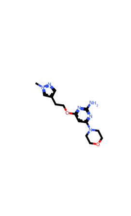 Cn1cc(CCOc2cc(N3CCOCC3)nc(N)n2)cn1